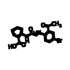 CC(=O)c1cc(Br)ccc1NCC(=O)Nc1ccccc1C(=O)O